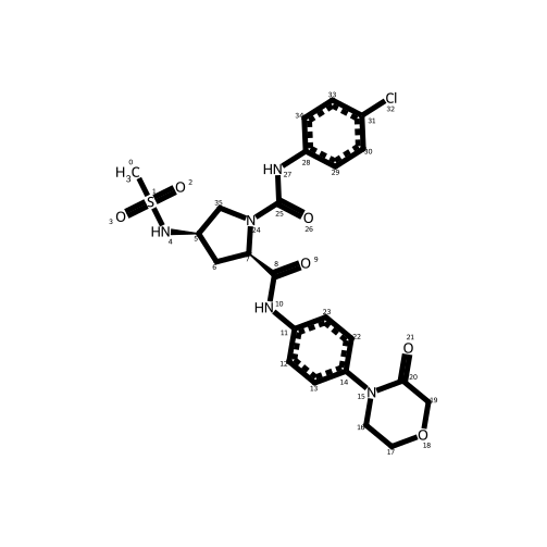 CS(=O)(=O)N[C@@H]1C[C@H](C(=O)Nc2ccc(N3CCOCC3=O)cc2)N(C(=O)Nc2ccc(Cl)cc2)C1